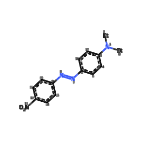 CCN(CC)c1ccc(N=Nc2ccc([N+](=O)[O-])cc2)cc1